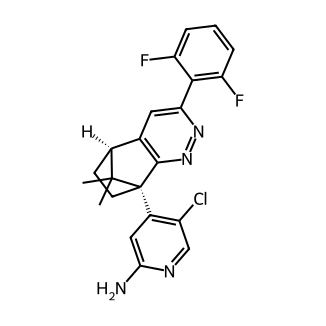 CC1(C)[C@H]2CC[C@]1(c1cc(N)ncc1Cl)c1nnc(-c3c(F)cccc3F)cc12